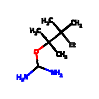 CCC(C)(C)C(C)(C)OC(N)N